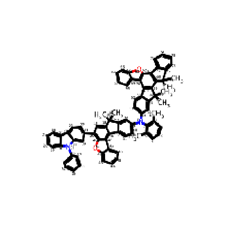 Cc1cccc(C)c1N(c1ccc2c(c1)C(C)(C)c1cc(-c3ccc4c5ccccc5n(-c5ccccc5)c4c3)c3oc4ccccc4c3c1-2)c1ccc2c(c1)C(C)(C)c1c3c(c4oc5ccccc5c4c1-2)-c1ccccc1C3(C)C